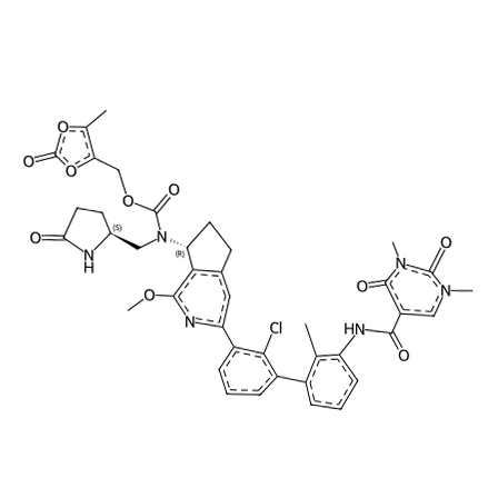 COc1nc(-c2cccc(-c3cccc(NC(=O)c4cn(C)c(=O)n(C)c4=O)c3C)c2Cl)cc2c1[C@H](N(C[C@@H]1CCC(=O)N1)C(=O)OCc1oc(=O)oc1C)CC2